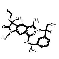 Cc1nnc(N[C@H](C)c2cccc(C(F)(F)CO)c2)c2cc3c(cc12)C(C)(OCI)C(=O)N3C